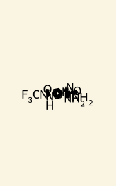 NC(=O)c1ncn(-c2ccc(NC(=O)NC(F)(F)F)cc2)c1N